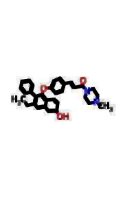 CCc1cc2cc(O)ccc2c(Oc2ccc(C=CC(=O)N3CCN(C)CC3)cc2)c1-c1ccccc1